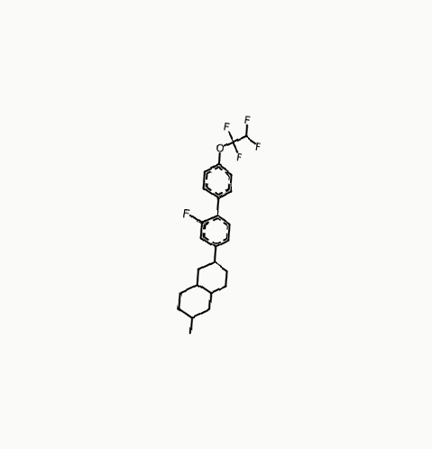 CC1CCC2CC(c3ccc(-c4ccc(OC(F)(F)C(F)F)cc4)c(F)c3)CCC2C1